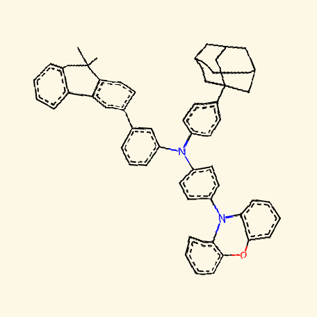 CC1(C)c2ccccc2-c2cc(-c3cccc(N(c4ccc(N5c6ccccc6Oc6ccccc65)cc4)c4ccc(C56CC7CC(CC(C7)C5)C6)cc4)c3)ccc21